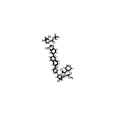 COC(=O)N[C@H](C(=O)N1[C@@H]2C[C@@H]2C[C@H]1c1ncc(-c2ccc3cc(-c4ccc5nc([C@@H]6C[C@H]7C[C@H]7N6C(=O)OC(C)(C)C)[nH]c5c4)ccc3c2)[nH]1)C1CCOCC1